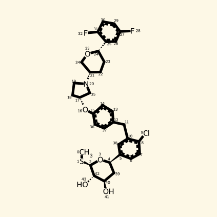 CS[C@H]1O[C@@H](c2ccc(Cl)c(Cc3ccc(O[C@@H]4CCN([C@H]5CC[C@@H](c6cc(F)ccc6F)OC5)C4)cc3)c2)C[C@@H](O)[C@@H]1O